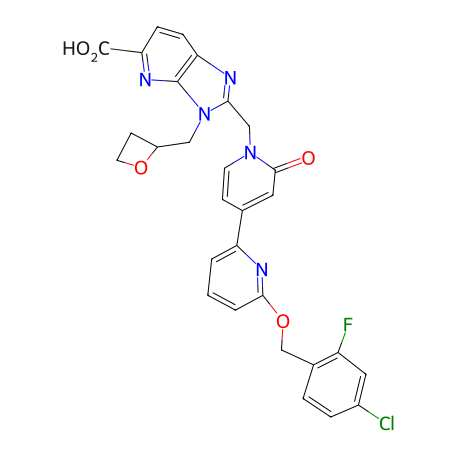 O=C(O)c1ccc2nc(Cn3ccc(-c4cccc(OCc5ccc(Cl)cc5F)n4)cc3=O)n(CC3CCO3)c2n1